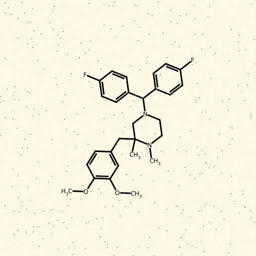 COc1ccc(CC2(C)CN(C(c3ccc(F)cc3)c3ccc(F)cc3)CCN2C)cc1OC